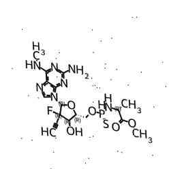 C#C[C@@]1(F)[C@H](O)[C@@H](CO[PH](=S)N[C@H](C)C(=O)OC)O[C@H]1n1cnc2c(NC)nc(N)nc21